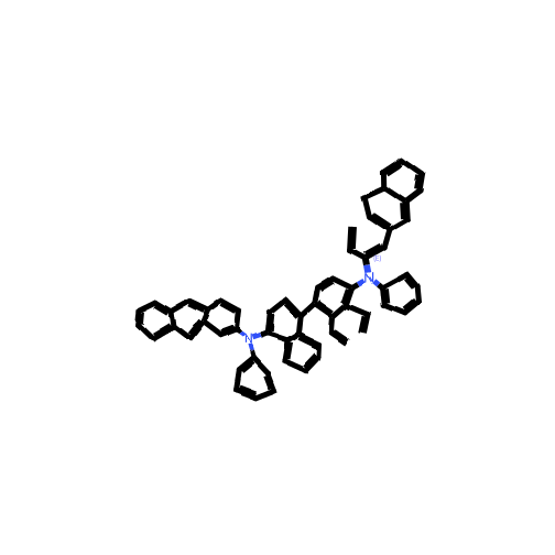 C=C/C(=C\C1=CCC2C=CC=CC2=C1)N(c1ccccc1)c1ccc(-c2ccc(N(c3ccccc3)c3ccc4cc5ccccc5cc4c3)c3ccccc23)c(C=C)c1C=C